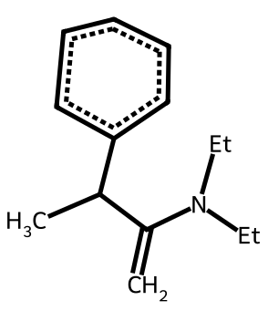 C=C(C(C)c1ccccc1)N(CC)CC